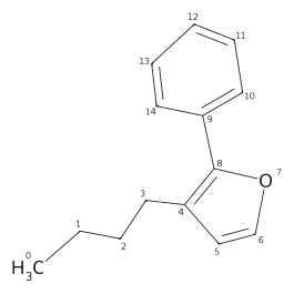 CCCCc1ccoc1-c1ccccc1